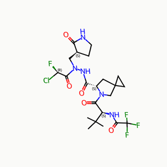 CC(C)(C)[C@H](NC(=O)C(F)(F)F)C(=O)N1CC2(CC2)C[C@H]1C(=O)NN(C[C@@H]1CCNC1=O)C(=O)[C@H](F)Cl